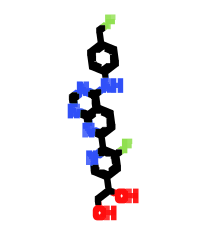 OCC(O)c1cnc(-c2ccc3c(Nc4ccc(CF)cc4)ncnc3n2)c(F)c1